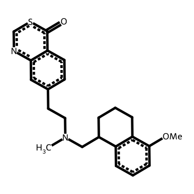 COc1cccc2c1CCCC2CN(C)CCc1ccc2c(=O)scnc2c1